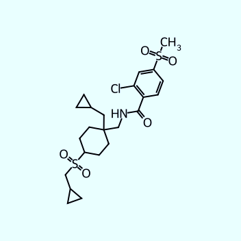 CS(=O)(=O)c1ccc(C(=O)NCC2(CC3CC3)CCC(S(=O)(=O)CC3CC3)CC2)c(Cl)c1